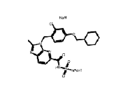 CCCCCS(=O)(=O)NC(=O)c1ccc2nc(C)n(Cc3ccc(OCC4CCCCC4)cc3Cl)c2n1.[NaH]